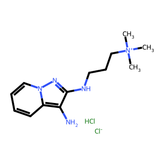 C[N+](C)(C)CCCNc1nn2ccccc2c1N.Cl.[Cl-]